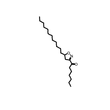 CCCCCCCCCCCCC1CC(C(=O)CCCCCC)=NO1